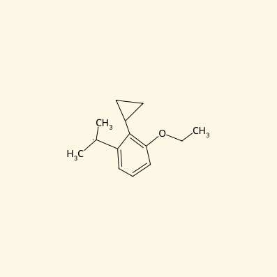 CCOc1cccc([C](C)C)c1C1CC1